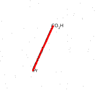 CC(C)CCCCCCCCCCCCCCCCCCCCCCCCCCCCCCCCCCCCCCCCCCCCCCCCCCCCCCCCCCCCCCCCCCCCCCCCCCCCC(=O)O